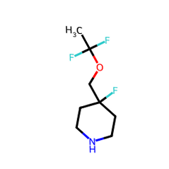 CC(F)(F)OCC1(F)CCNCC1